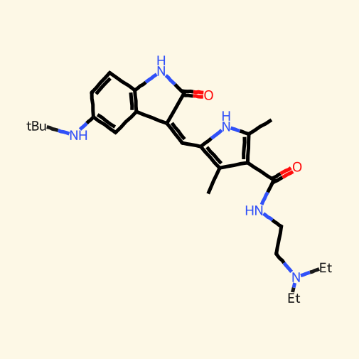 CCN(CC)CCNC(=O)c1c(C)[nH]c(/C=C2\C(=O)Nc3ccc(NC(C)(C)C)cc32)c1C